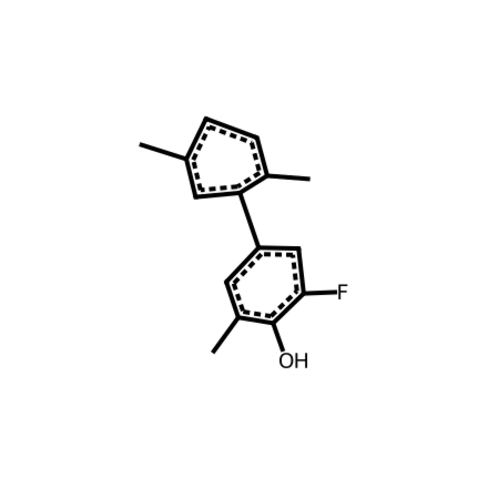 Cc1ccc(C)c(-c2cc(C)c(O)c(F)c2)c1